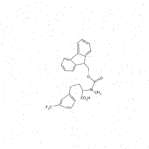 CN(C(=O)OCC1c2ccccc2-c2ccccc21)C(CCc1cccc(C(F)(F)F)c1)C(=O)O